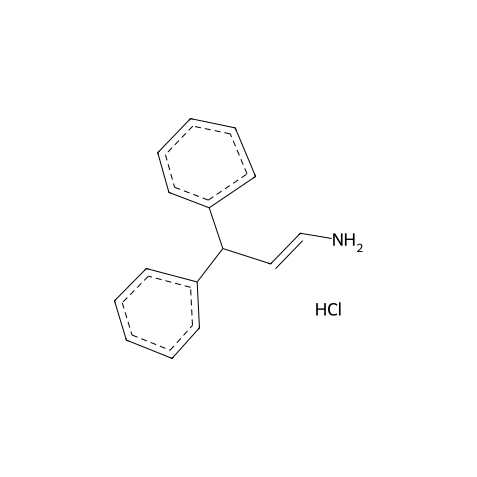 Cl.NC=CC(c1ccccc1)c1ccccc1